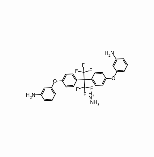 N.N.Nc1cccc(Oc2ccc(C(c3ccc(Oc4cccc(N)c4)cc3)(C(F)(F)F)C(F)(F)F)cc2)c1